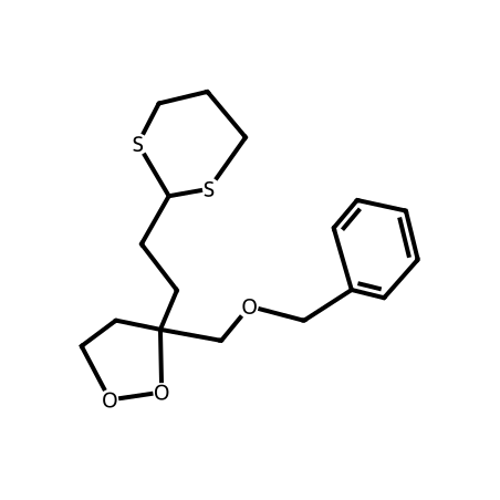 c1ccc(COCC2(CCC3SCCCS3)CCOO2)cc1